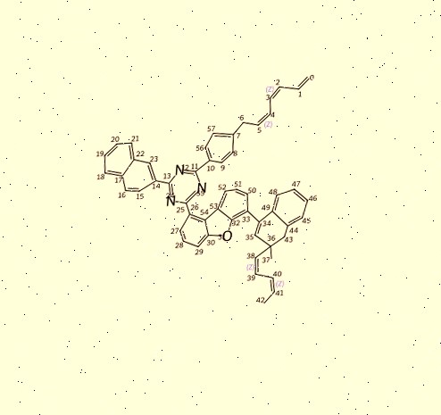 C=C/C=C\C=C/Cc1ccc(-c2nc(-c3ccc4ccccc4c3)nc(-c3cccc4oc5c(C6=CC(C)(/C=C\C=C/C)Cc7ccccc76)cccc5c34)n2)cc1